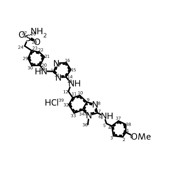 COc1ccc(CNc2nc3cc(CNc4ccnc(Nc5ccc(CS(N)(=O)=O)cc5)n4)ccc3n2C)cc1.Cl